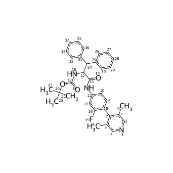 Cc1cncc(C)c1-c1ccc(NC(=O)C(NC(=O)OC(C)(C)C)C(c2ccccc2)c2ccccc2)cc1F